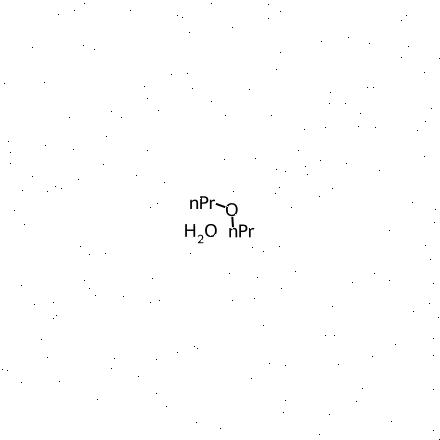 CCCOCCC.O